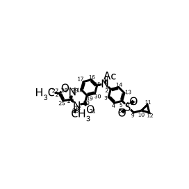 CC(=O)N(c1ccc(S(=O)(=O)CC2CC2)cc1)c1cccc(C(=O)N(C)c2cc(C)on2)c1